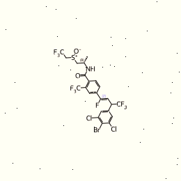 C[C@H](C[S+]([O-])CC(F)(F)F)NC(=O)c1ccc(/C(F)=C/C(c2cc(Cl)c(Br)c(Cl)c2)C(F)(F)F)cc1C(F)(F)F